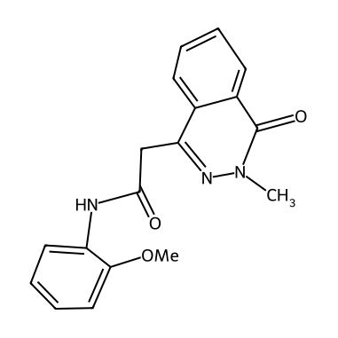 COc1ccccc1NC(=O)Cc1nn(C)c(=O)c2ccccc12